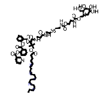 CC/C=C\C/C=C\C/C=C\C/C=C\C/C=C/CCCC(=O)OCC(C)(C)[C@@H](OC(=O)c1ccccc1OC(=O)c1ccccc1OC(=O)c1cccnc1)C(=O)NCCC(=O)NCCSSCCNC(=O)OCCNC(=O)OCCN1CC(O)[C@@H](O)[C@H](O)C1CO